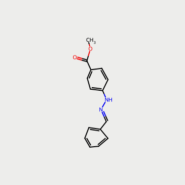 COC(=O)c1ccc(NN=Cc2ccccc2)cc1